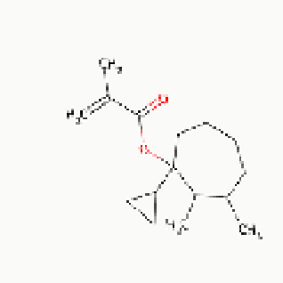 C=C(C)C(=O)OC1(C2CC2)CCCCC(C)C1C